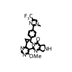 COc1ncnc(C2CC2)c1-c1nc2c(c(=O)n1Cc1ccc(-c3nc(C(F)(F)F)cn3C)cc1)CNC2